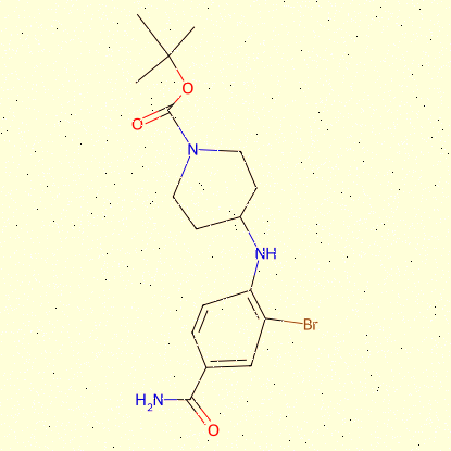 CC(C)(C)OC(=O)N1CCC(Nc2ccc(C(N)=O)cc2Br)CC1